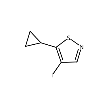 Ic1cnsc1C1CC1